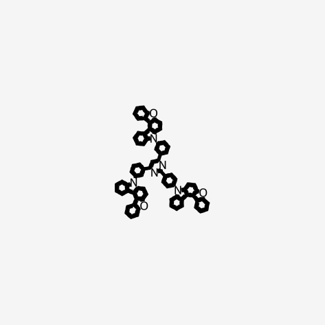 c1cc(-c2cc(-c3cccc(-n4c5ccccc5c5c6c(ccc54)oc4ccccc46)c3)nc(-c3ccc(-n4c5ccccc5c5c6c(ccc54)oc4ccccc46)cc3)n2)cc(-n2c3ccccc3c3c4c(ccc32)oc2ccccc24)c1